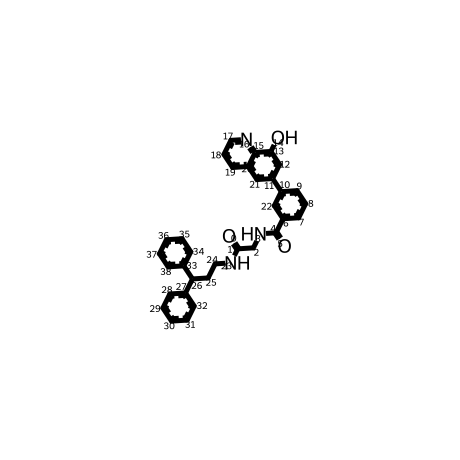 O=C(CNC(=O)c1cccc(-c2cc(O)c3ncccc3c2)c1)NCCC(c1ccccc1)c1ccccc1